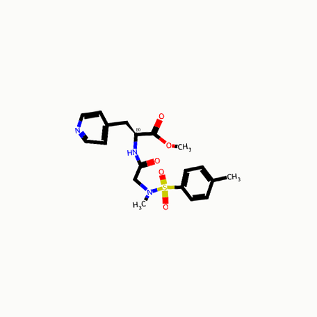 COC(=O)[C@H](Cc1ccncc1)NC(=O)CN(C)S(=O)(=O)c1ccc(C)cc1